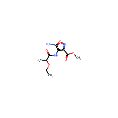 CCOC(C)C(=O)Nc1c(C(=O)OC)noc1N